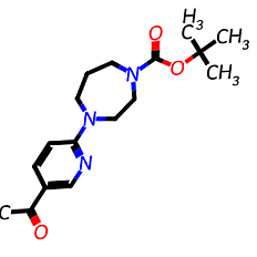 CC(=O)c1ccc(N2CCCN(C(=O)OC(C)(C)C)CC2)nc1